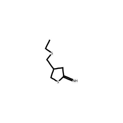 CCSCC1CSC(=N)C1